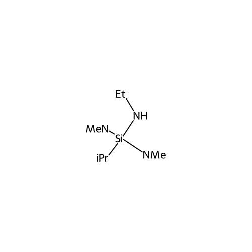 CCN[Si](NC)(NC)C(C)C